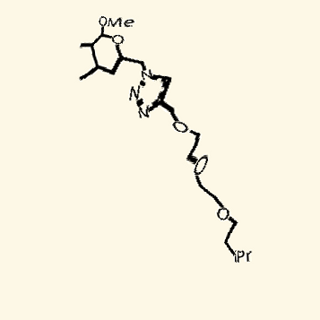 COC1OC(Cn2cc(COCCOCCOCCC(C)C)nn2)CC(C)C1C